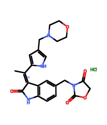 C/C(=C1\C(=O)Nc2ccc(CN3C(=O)COC3=O)cc21)c1cc(CN2CCOCC2)c[nH]1.Cl